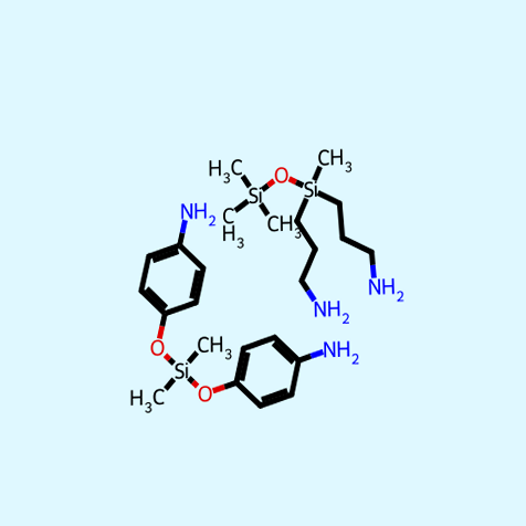 C[Si](C)(C)O[Si](C)(CCCN)CCCN.C[Si](C)(Oc1ccc(N)cc1)Oc1ccc(N)cc1